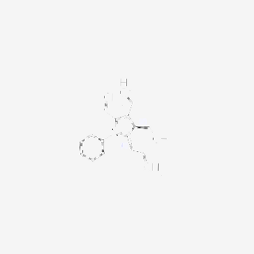 C=C/C=c1\c(=C/C)c(C=C)c(C=C)n1-c1ccccc1